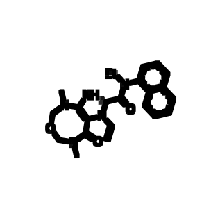 C=CN(CC(=O)N(CC)c1cccc2ccccc12)/C1=C(\N)N(C)COCN(C)C1=O